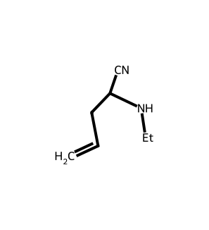 C=CCC(C#N)NCC